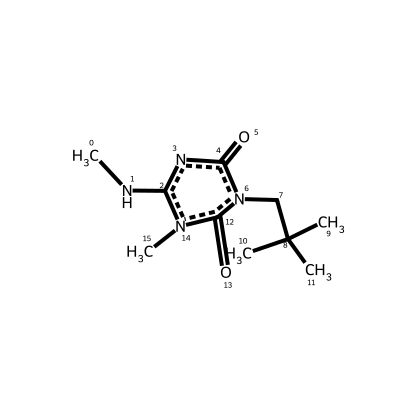 CNc1nc(=O)n(CC(C)(C)C)c(=O)n1C